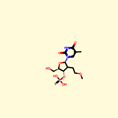 COCCC1[C@H](n2cc(C)c(=O)[nH]c2=O)O[C@H](CO)[C@H]1OP(O)(O)=S